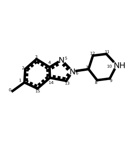 Cc1ccc2nn(C3CCNCC3)cc2c1